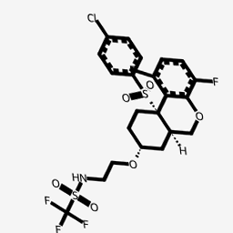 O=S(=O)(NCCO[C@@H]1CC[C@@]2(S(=O)(=O)c3ccc(Cl)cc3)c3c(F)ccc(F)c3OC[C@H]2C1)C(F)(F)F